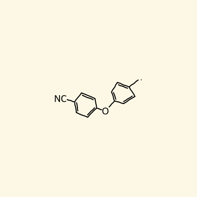 [CH2]c1ccc(Oc2ccc(C#N)cc2)cc1